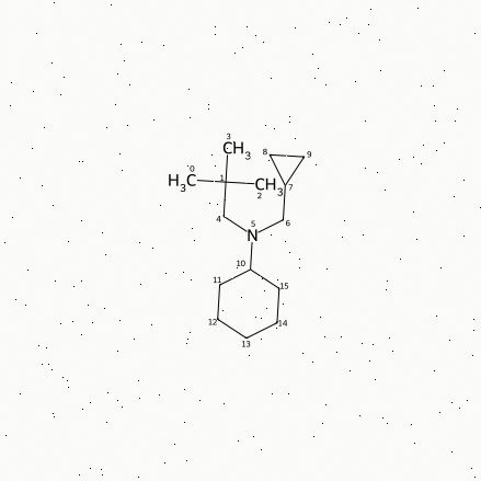 CC(C)(C)CN(CC1CC1)C1CCCCC1